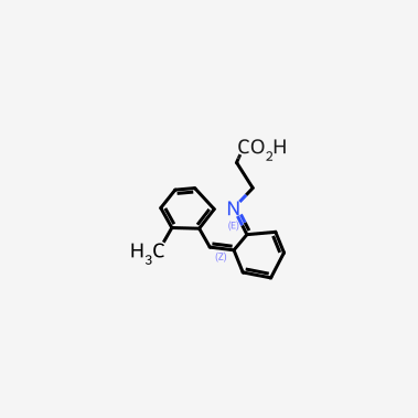 Cc1ccccc1/C=C1/C=CC=C/C1=N\CCC(=O)O